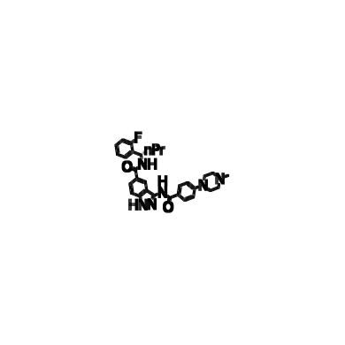 CCC[C@H](NC(=O)c1ccc2[nH]nc(NC(=O)c3ccc(N4CCN(C)CC4)cc3)c2c1)c1ccccc1F